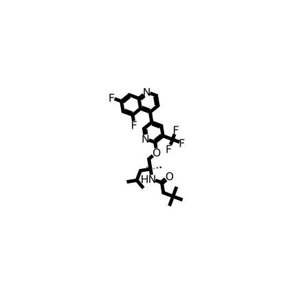 CC(C)C[C@@](C)(COc1ncc(-c2ccnc3cc(F)cc(F)c23)cc1C(F)(F)F)NC(=O)CC(C)(C)C